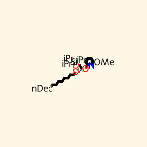 CCCCCCCCCCCCCCCCCCOC[C@H](CO[Si](C(C)C)(C(C)C)C(C)C)Oc1cccc(OC)n1